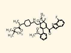 COC1(F)C=C(C(=O)c2cc3cccc(F)c3s2)C(c2ccccc2[S+](C)[O-])=CC1(Cl)CNC1CCC(N(C)C(=O)OC(C)(C)C)CC1